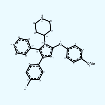 COc1ccc(Oc2nc(-c3ccc(F)cc3)c(-c3ccncc3)n2C2CCNCC2)cc1